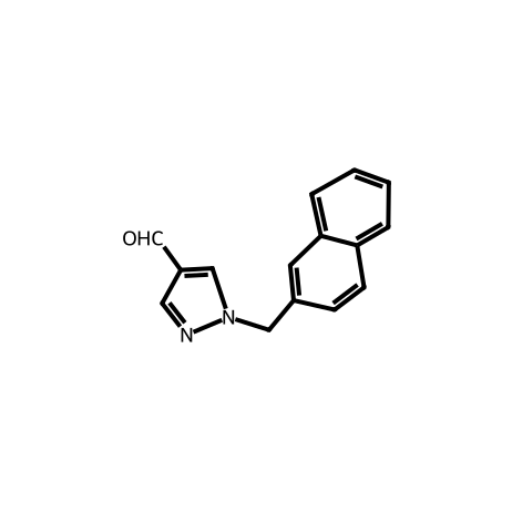 O=Cc1cnn(Cc2ccc3ccccc3c2)c1